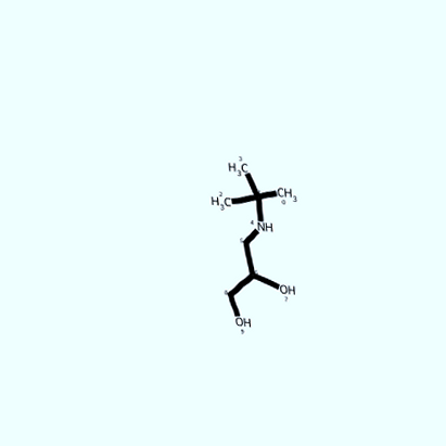 CC(C)(C)NCC(O)CO